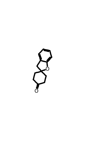 O=C1CCC2(CC1)Cc1ccccc1O2